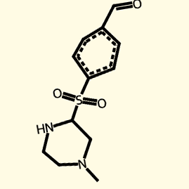 CN1CCNC(S(=O)(=O)c2ccc(C=O)cc2)C1